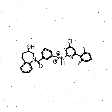 Cc1cccc(C)c1-c1cc(Cl)nc(NS(=O)(=O)c2cccc(C(=O)N3CC(O)CCc4ccccc43)c2)n1